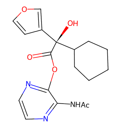 [CH2]C(=O)Nc1nccnc1OC(=O)[C@](O)(c1ccoc1)C1CCCCC1